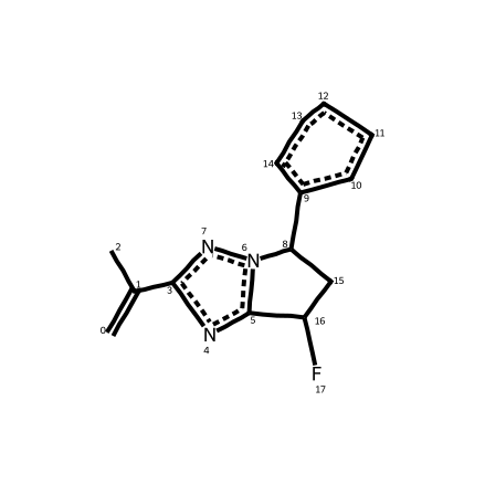 C=C(C)c1nc2n(n1)C(c1ccccc1)CC2F